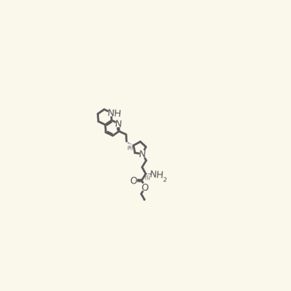 CCOC(=O)[C@@H](N)CCN1CC[C@@H](CCc2ccc3c(n2)NCCC3)C1